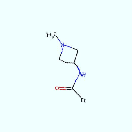 CCC(=O)NC1CN(C)C1